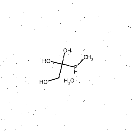 CPC(O)(O)CO.O